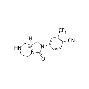 N#Cc1ccc(N2C[C@@H]3CNCCN3C2=O)cc1C(F)(F)F